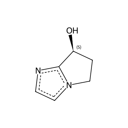 O[C@H]1CCn2ccnc21